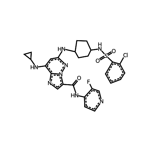 O=C(Nc1ccncc1F)c1cnc2c(NC3CC3)cc(NC3CCC(NS(=O)(=O)c4ccccc4Cl)CC3)nn12